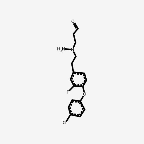 NN(CCC=O)CCc1ccc(Oc2ccc(Cl)cc2)c(F)c1